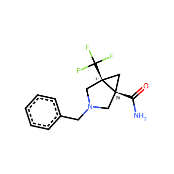 NC(=O)[C@@]12CN(Cc3ccccc3)C[C@]1(C(F)(F)F)C2